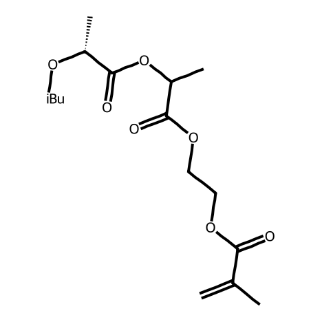 C=C(C)C(=O)OCCOC(=O)C(C)OC(=O)[C@@H](C)OC(C)CC